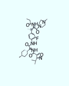 CCC(=O)N[C@@H](C(=O)N1CCN(C)CC1)[C@@H](C)c1ccc(NC(=O)[C@@H](NC(=O)c2conc2C(C)C)[C@H]2CC[C@H](C)CC2)c(F)c1